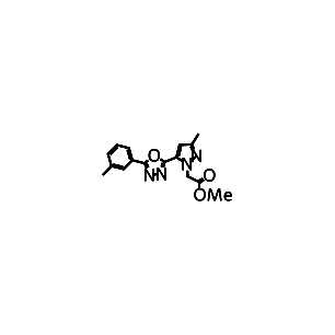 COC(=O)Cn1nc(C)cc1-c1nnc(-c2cccc(C)c2)o1